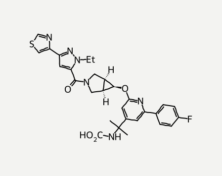 CCn1nc(-c2cscn2)cc1C(=O)N1C[C@@H]2[C@H](C1)[C@@H]2Oc1cc(C(C)(C)NC(=O)O)cc(-c2ccc(F)cc2)n1